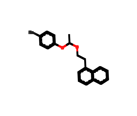 CCC(C)c1ccc(OC(C)OCCc2cccc3ccccc23)cc1